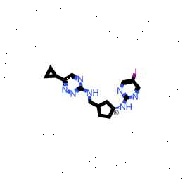 Ic1cnc(N[C@H]2CCC(CNc3ncc(C4CC4)nn3)C2)nc1